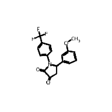 COc1cccc(C2CC(=O)C(=O)N2c2ccc(C(F)(F)F)cc2)c1